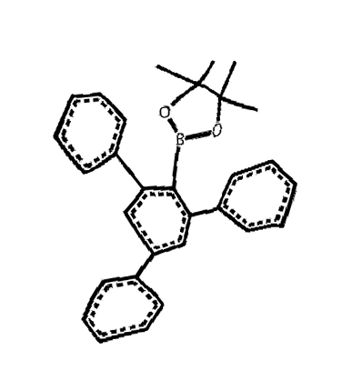 CC1(C)OB(c2c(-c3ccccc3)cc(-c3ccccc3)cc2-c2ccccc2)OC1(C)C